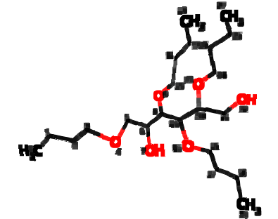 CCCCOCC(O)C(OCCCC)C(OCCCC)C(CO)OCCCC